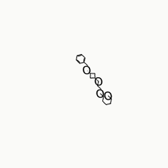 c1ccc(CO[C@H]2C[C@H](OCCOC3CCCCO3)C2)cc1